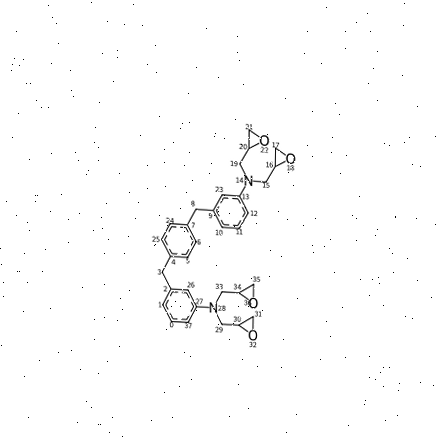 c1cc(Cc2ccc(Cc3cccc(N(CC4CO4)CC4CO4)c3)cc2)cc(N(CC2CO2)CC2CO2)c1